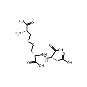 N[C@@H](CSSC[C@H](NN[C@@H](CC(=O)O)C(=O)O)C(=O)O)C(=O)O